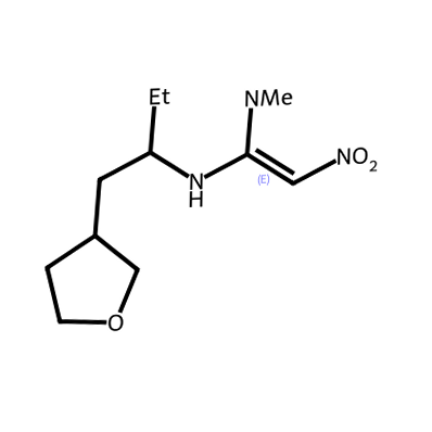 CCC(CC1CCOC1)N/C(=C/[N+](=O)[O-])NC